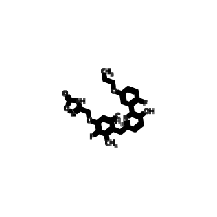 CCCOc1ccc(F)c(-c2nc(Cc3c(C)cc(OCc4noc(=O)[nH]4)c(F)c3C)ccc2O)c1